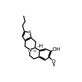 CCCc1cc2c(s1)C[C@H]1c3cc(O)c(OC)cc3CCN1C2